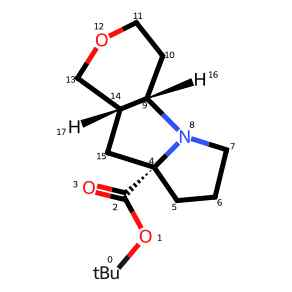 CC(C)(C)OC(=O)[C@@]12CCCN1[C@H]1CCOC[C@H]1C2